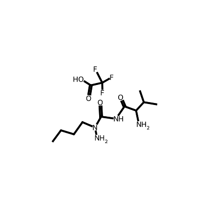 CCCCN(N)C(=O)NC(=O)C(N)C(C)C.O=C(O)C(F)(F)F